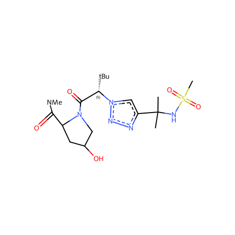 CNC(=O)C1CC(O)CN1C(=O)[C@@H](n1cc(C(C)(C)NS(C)(=O)=O)nn1)C(C)(C)C